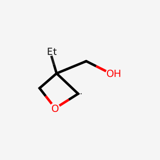 CCC1(CO)[CH]OC1